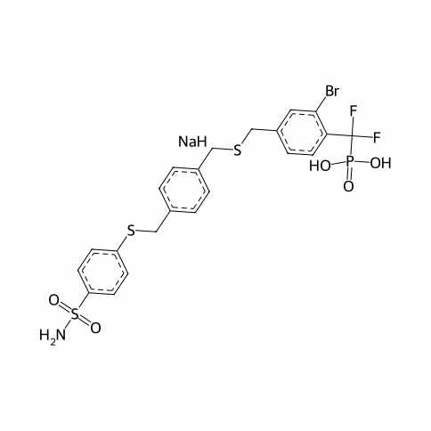 NS(=O)(=O)c1ccc(SCc2ccc(CSCc3ccc(C(F)(F)P(=O)(O)O)c(Br)c3)cc2)cc1.[NaH]